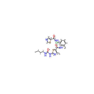 CCCCNC(=O)Nc1nc(C)c(C(=O)Nc2c(C)cccc2Cl)s1.NC(=O)c1cncs1